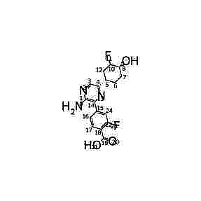 Nc1ncc([C@H]2CC[C@H](O)[C@H](F)C2)nc1-c1ccc(C(=O)O)c(F)c1